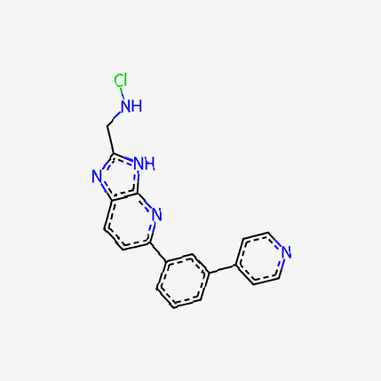 ClNCc1nc2ccc(-c3cccc(-c4ccncc4)c3)nc2[nH]1